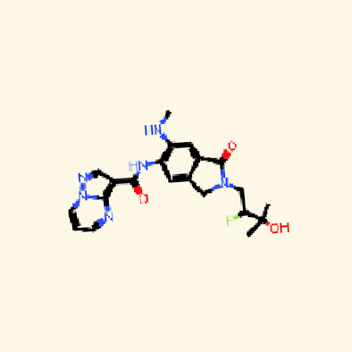 CNc1cc2c(cc1NC(=O)c1cnn3cccnc13)CN(CC(F)C(C)(C)O)C2=O